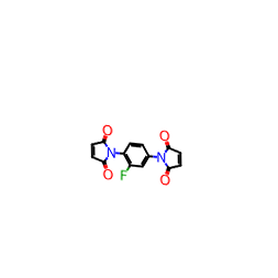 O=C1C=CC(=O)N1c1ccc(N2C(=O)C=CC2=O)c(F)c1